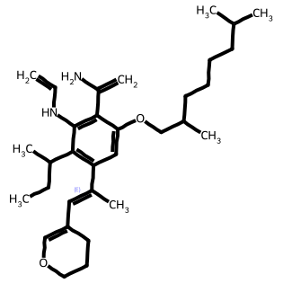 C=CNc1c(C(=C)N)c(OCC(C)CCCCC(C)C)cc(/C(C)=C/C2=COCCC2)c1C(C)CC